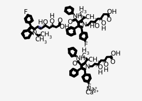 CC(C)c1c(C(=O)Nc2ccccc2)c(-c2ccccc2)c(-c2ccc(F)cc2)n1CC[C@@H](O)C[C@@H](O)CC(=O)O.CC(C)c1c(C(=O)Nc2ccccc2)c(-c2ccccc2)c(-c2ccc(F)cc2)n1CC[C@@H](O)C[C@@H](O)CC(=O)O.CC(C)n1c(/C=C/[C@@H](O)C[C@@H](O)CC(=O)O)c(-c2ccc(F)cc2)c2ccccc21.[Ca+2].[Na+]